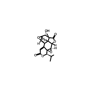 CC(C)[C@H]1OC(=O)C=C2[C@]3(C)[C@H]4[C@H](OC(=O)[C@@]4(C)[C@@H](O)[C@H]4O[C@H]43)[C@H]3O[C@]213